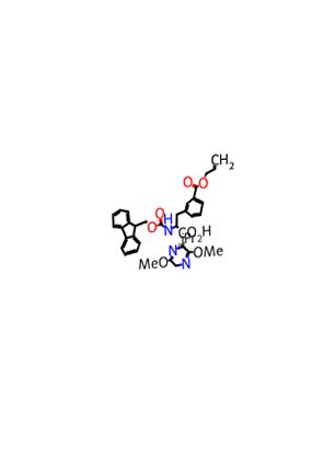 C=CCOC(=O)c1cccc(CC(NC(=O)OCC2c3ccccc3-c3ccccc32)C(=O)O)c1.COC1=N[C@@H](C(C)C)C(OC)=NC1